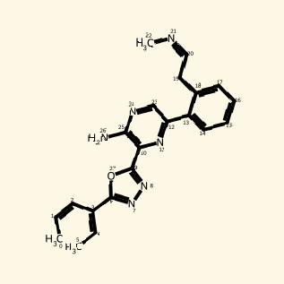 C/C=C\C(=C/C)c1nnc(-c2nc(-c3ccccc3C/C=N\C)cnc2N)o1